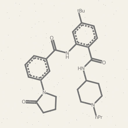 CCCN1CCC(NC(=O)c2ccc(C(C)(C)C)cc2NC(=O)c2cccc(N3CCCC3=O)c2)CC1